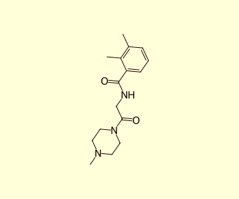 Cc1cccc(C(=O)NCC(=O)N2CCN(C)CC2)c1C